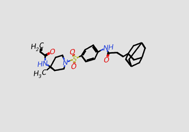 C=CC(=O)NC1(C)CCN(S(=O)(=O)c2ccc(NC(=O)CCC34CC5CC(CC(C5)C3)C4)cc2)CC1